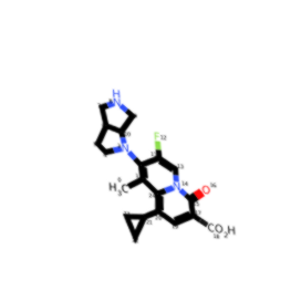 Cc1c(N2CCC3CNCC32)c(F)cn2c(=O)c(C(=O)O)cc(C3CC3)c12